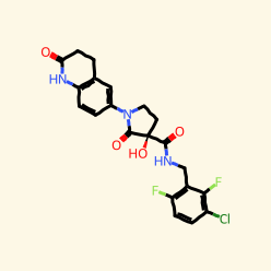 O=C1CCc2cc(N3CC[C@](O)(C(=O)NCc4c(F)ccc(Cl)c4F)C3=O)ccc2N1